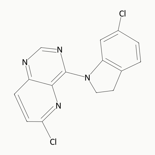 Clc1ccc2c(c1)N(c1ncnc3ccc(Cl)nc13)CC2